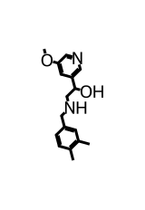 COc1cncc(C(O)CNCc2ccc(C)c(C)c2)c1